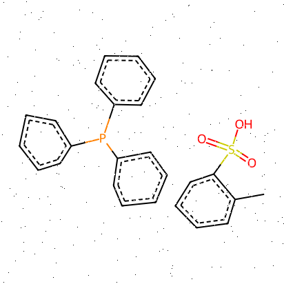 Cc1ccccc1S(=O)(=O)O.c1ccc(P(c2ccccc2)c2ccccc2)cc1